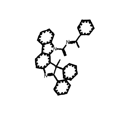 C=C(/N=C(\C)c1ccccc1)n1c2ccccc2c2ccc3c(c21)C(C)(c1ccccc1)C(c1ccccc1)=N3